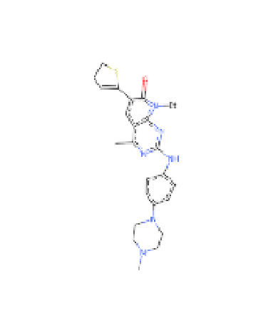 CCn1c(=O)c(C2=CCCS2)cc2c(C)nc(Nc3ccc(N4CCN(C)CC4)cc3)nc21